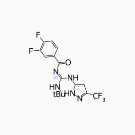 CC(C)(C)N/C(=N/C(=O)c1ccc(F)c(F)c1)Nc1cc(C(F)(F)F)n[nH]1